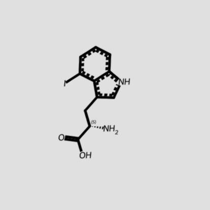 N[C@@H](Cc1c[nH]c2cccc(I)c12)C(=O)O